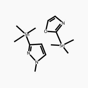 Cn1cc[c]([Sn]([CH3])([CH3])[CH3])n1.[CH3][Sn]([CH3])([CH3])[c]1ncco1